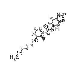 CCC=CCCCCOc1cccc(CC(=O)Nc2ccc3ncsc3c2)c1F